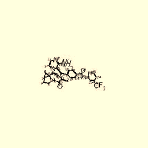 C=CC(=O)N1CCC2CC21c1nc(-c2ccc(C(=O)Nc3cc(C(F)(F)F)ccn3)cc2)c2c(N)nccn12